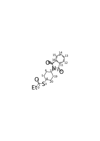 CCC(=O)SC1CCC(N2C(=O)c3ccccc3C2=O)CC1